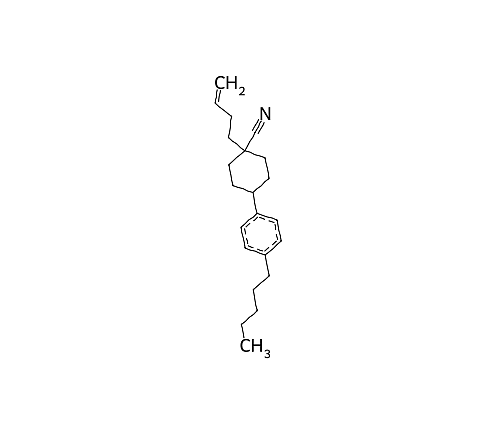 C=CCCC1(C#N)CCC(c2ccc(CCCCC)cc2)CC1